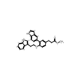 COC(=O)CCc1ccc(OCCc2c[nH]c3ccccc23)c(-c2ccc3[nH]ccc3c2)c1